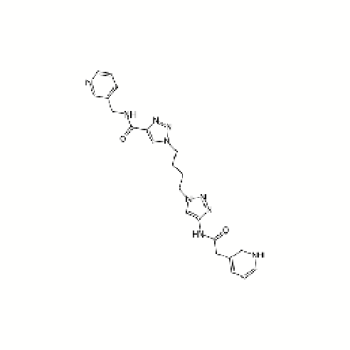 O=C(CC1=CC=CNC1)Nc1cn(CCCCn2cc(C(=O)NCc3cccnc3)nn2)nn1